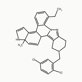 CCc1cccc2c1-n1nc3c(c1C1C=CC4(C)NC=CC4=C21)CN(Cc1cc(Cl)ccc1Cl)CC3